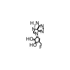 Nc1ncnc2c1ncn2[C@@H]1C=C(CF)[C@@H](O)[C@H]1O